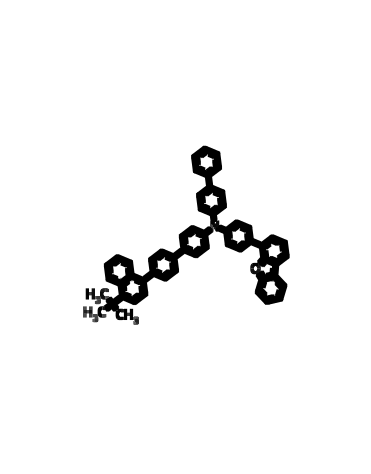 CC(C)(C)c1ccc(-c2ccc(-c3ccc(N(c4ccc(-c5ccccc5)cc4)c4ccc(-c5cccc6c5oc5ccccc56)cc4)cc3)cc2)c2ccccc12